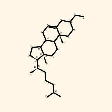 CCC1CC[C@@]2(C)C(=CCC3C2CC[C@@]2(C)C3CC[C@@H]2[C@H](C)CCCC(C)C)C1